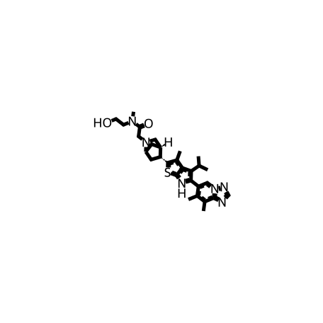 Cc1c(-c2[nH]c3sc([C@@H]4CC5C[C@H]4CN5CC(=O)N(C)CCO)c(C)c3c2C(C)C)cn2ncnc2c1C